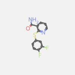 NC(=O)c1cccnc1Sc1ccc(F)c(F)c1